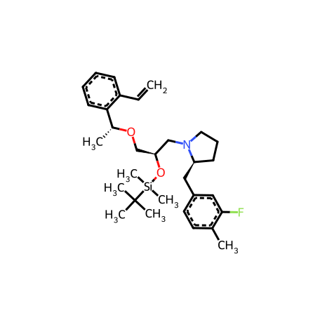 C=Cc1ccccc1[C@@H](C)OC[C@@H](CN1CCC[C@H]1Cc1ccc(C)c(F)c1)O[Si](C)(C)C(C)(C)C